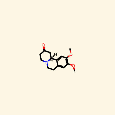 COc1cc2c(cc1OC)[C@H]1CC(=O)CCN1CC2